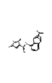 Cc1nn(C)cc1C(=O)Nc1cccc2c1C1CCC2C1C(C)C